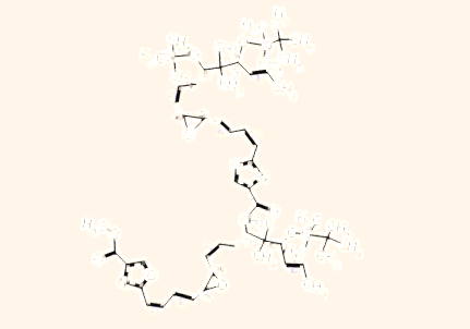 C/C=C/[C@H](O[Si](C)(C)C(C)(C)C)C(C)(C)[C@H](C/C=C\[C@H]1O[C@H]1/C=C/C=C\c1nc(C(=O)OC)co1)OC(=O)c1coc(/C=C\C=C\[C@@H]2O[C@@H]2/C=C\C[C@H](O[Si](C)(C)C)C(C)(C)[C@H](/C=C/C)O[Si](C)(C)C(C)(C)C)n1